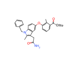 COC(=O)c1cccc(Oc2ccc3c(c2)c(CC(N)=O)c(C)n3Cc2ccccc2)c1C